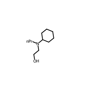 [CH2]CCN(CCO)C1CCCCC1